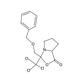 O=C1OC(COCc2ccccc2)(C(Cl)(Cl)Cl)N2CCCC12